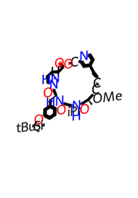 CO[C@@H]1CC/C=C/c2ccnc(c2)COC(=O)[C@@H]2CCCN(N2)C(=O)[C@H](Cc2cccc(O[Si](C)(C)C(C)(C)C)c2)NC(=O)[C@H](C(C)C)NC(=O)[C@@H]1C